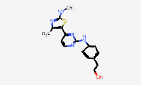 CNc1nc(C)c(-c2ccnc(Nc3ccc(CCO)cc3)n2)s1